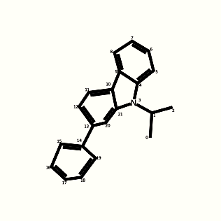 CC(C)n1c2ccccc2c2ccc(-c3ccccc3)cc21